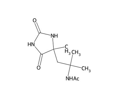 CC(=O)NC(C)(C)CC1(C)NC(=O)NC1=O